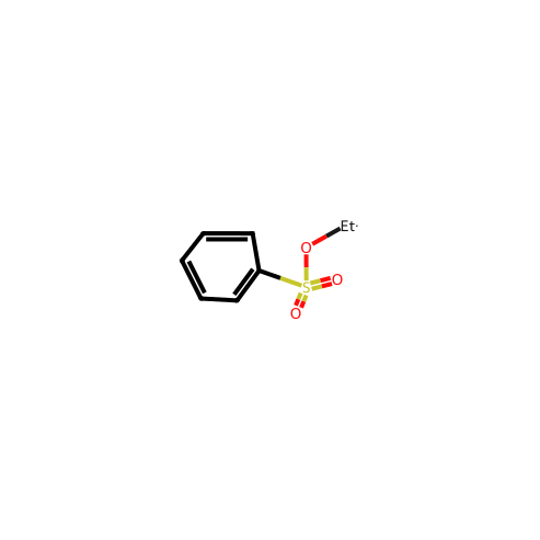 C[CH]OS(=O)(=O)c1ccccc1